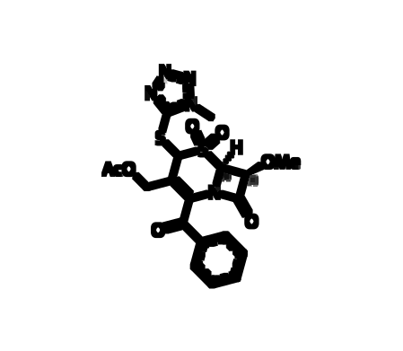 CO[C@H]1C(=O)N2C(C(=O)c3ccccc3)=C(COC(C)=O)C(Sc3nnnn3C)S(=O)(=O)[C@@H]12